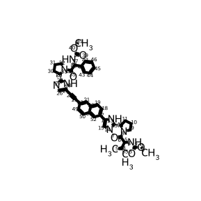 COC(=O)NC(C(=O)N1CCC[C@H]1c1ncc(-c2ccc3cc(C#Cc4cnc([C@@H]5CCCN5C(=O)[C@H](NC(=O)OC)c5ccccc5)[nH]4)ccc3c2)[nH]1)C(C)C